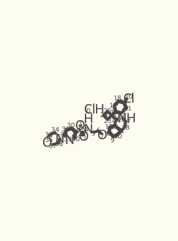 Cl.O=S(=O)(NCCOc1ccc2c(c1)C(C1(c3ccc(Cl)cc3)CCC1)NCC2)c1ccc(N2CCOCC2)nc1